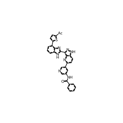 CC(=O)c1ccc(-c2cccc3[nH]c(-c4n[nH]c5ccc(-c6cncc(NC(=O)c7ccccc7)c6)nc45)nc23)s1